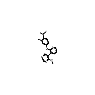 COc1ncncc1-c1cccnc1Oc1ccc(C(F)F)c(C)c1